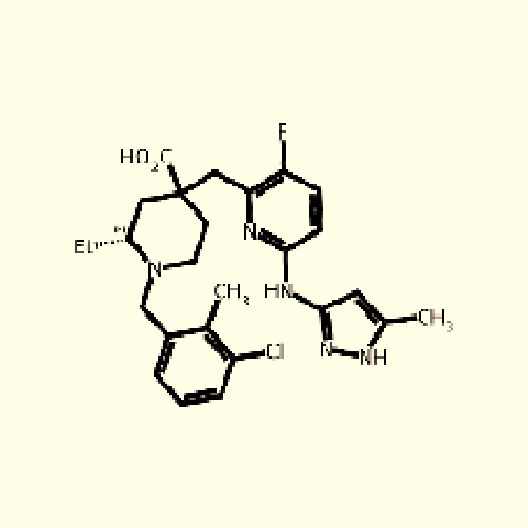 CC[C@@H]1CC(Cc2nc(Nc3cc(C)[nH]n3)ccc2F)(C(=O)O)CCN1Cc1cccc(Cl)c1C